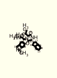 CC[C@@H](C)[C@@H]1C(=O)N[C@H](C2Cc3ccccc3C2)C(=O)N1[C@@H](C(=O)NC)c1ccc2c(cnn2C)c1